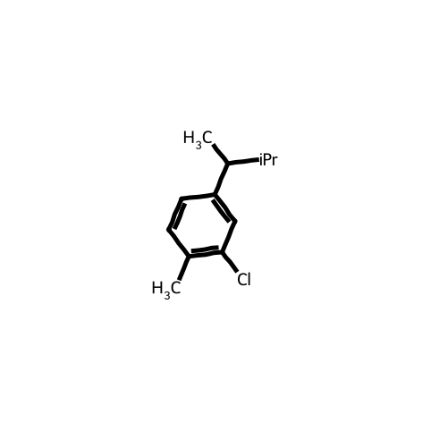 Cc1ccc(C(C)C(C)C)cc1Cl